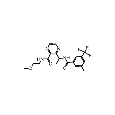 COCCNC(=O)c1nccnc1C(C)NC(=O)c1cc(C)cc(C(F)(F)F)c1